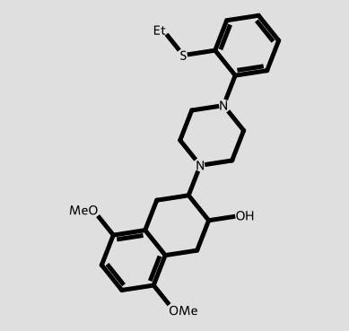 CCSc1ccccc1N1CCN(C2Cc3c(OC)ccc(OC)c3CC2O)CC1